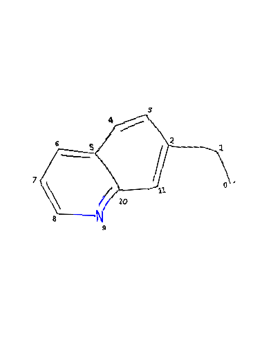 [CH2]Cc1ccc2cccnc2c1